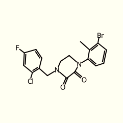 Cc1c(Br)cccc1N1CCN(Cc2ccc(F)cc2Cl)C(=O)C1=O